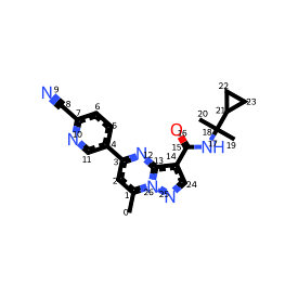 Cc1cc(-c2ccc(C#N)nc2)nc2c(C(=O)NC(C)(C)C3CC3)cnn12